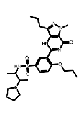 CCCOc1ccc(S(=O)(=O)NC(C)C(C)N2CCCC2)cc1-c1nc(=O)c2c([nH]1)c(CCC)nn2C